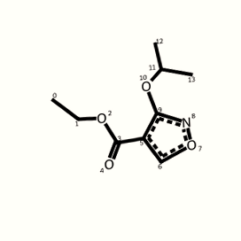 CCOC(=O)c1conc1OC(C)C